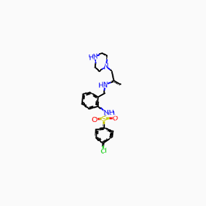 CC(CN1CCNCC1)NCc1ccccc1NS(=O)(=O)c1ccc(Cl)cc1